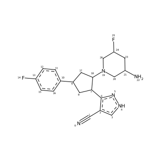 N#Cc1c[nH]nc1C1CC(c2ccc(F)cc2)CC1N1CC(N)CC(F)C1